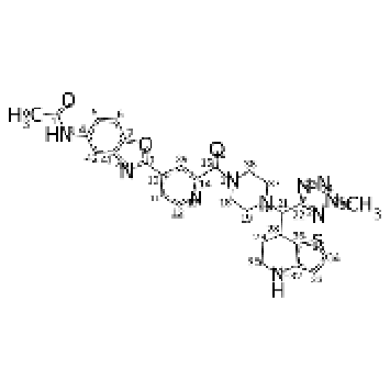 CC(=O)Nc1ccc2oc(-c3ccnc(C(=O)N4CCN(C(c5nnn(C)n5)C5CCNc6ccsc65)CC4)c3)nc2c1